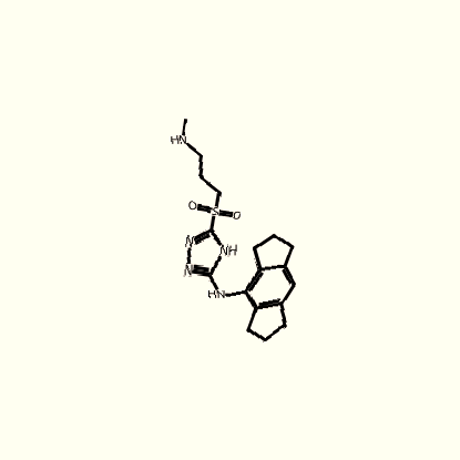 CNCCCS(=O)(=O)c1nnc(Nc2c3c(cc4c2CCC4)CCC3)[nH]1